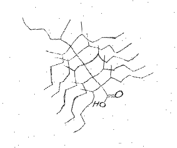 CCCCC(C)C(C(=O)O)(C(C)CCCC)C(C(C)CCCC)(C(C)CCCC)C(C(C)CCCC)(C(C)CCCC)C(C(C)CCCC)(C(C)CCCC)C(C(C)CCCC)(C(C)CCCC)C(C)CCCC